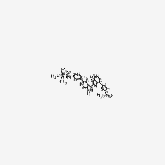 CC(=O)c1ccc(-c2cncc3[nH]c(-c4n[nH]c5cnc(-c6cncc(NC(=O)C(C)(C)C)c6)c(F)c45)nc23)s1